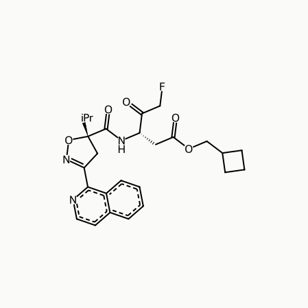 CC(C)[C@@]1(C(=O)N[C@@H](CC(=O)OCC2CCC2)C(=O)CF)CC(c2nccc3ccccc23)=NO1